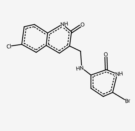 O=c1[nH]c2ccc(Cl)cc2cc1CNc1ccc(Br)[nH]c1=O